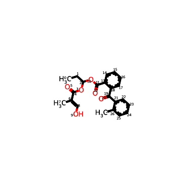 CCC(OC(=O)C(C)=CO)OC(=O)c1ccccc1C(=O)c1ccccc1C